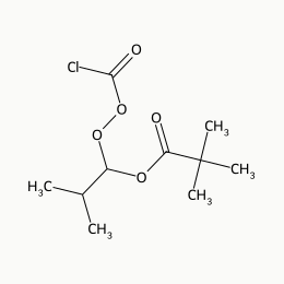 CC(C)C(OOC(=O)Cl)OC(=O)C(C)(C)C